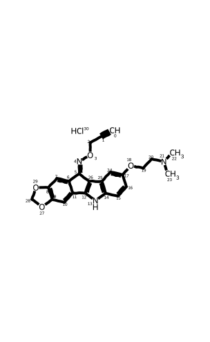 C#CCON=C1c2cc3c(cc2-c2[nH]c4ccc(OCCN(C)C)cc4c21)OCO3.Cl